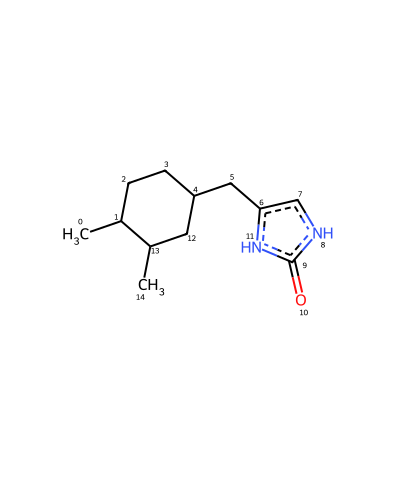 CC1CCC(Cc2c[nH]c(=O)[nH]2)CC1C